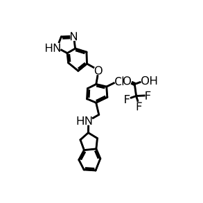 Clc1cc(CNC2Cc3ccccc3C2)ccc1Oc1ccc2[nH]cnc2c1.O=C(O)C(F)(F)F